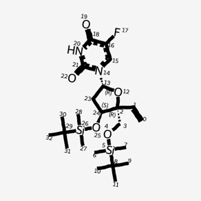 C=C[C@]1(CO[Si](C)(C)C(C)(C)C)O[C@@H](n2cc(F)c(=O)[nH]c2=O)C[C@@H]1O[Si](C)(C)C(C)(C)C